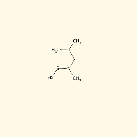 CC(C)CN(C)SS